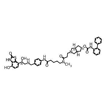 CN(CCCCC(=O)Nc1ccc(CNC[C@H](O)c2ccc(O)c3[nH]c(=O)sc23)cc1)C(=O)CCN1C[C@H]2C[C@H](OC(=O)Nc3ccccc3-c3ccccc3)C[C@H]2C1